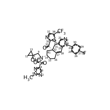 Cn1ncc(S(=O)(=O)N(CC2(O)CC2)[C@H]2CCC3=Cc4c(cnn4-c4ccc(F)cc4)C[C@]3(C(=O)c3ncc(C(F)(F)F)s3)C2)n1